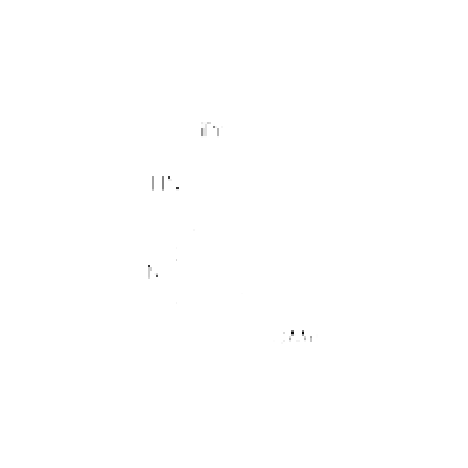 COC1=CC(NC(C)C)=NC1